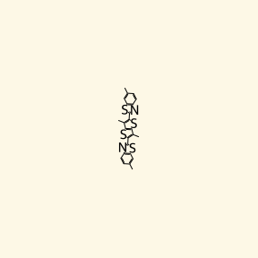 Cc1ccc2nc(-c3sc4c(C)c(-c5nc6ccc(C)cc6s5)sc4c3C)sc2c1